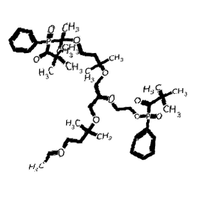 CCOCCC(C)(C)OCC(COC(C)(C)CCOC(C)(C)P(=O)(C(=O)C(C)(C)C)c1ccccc1)OCCOP(=O)(C(=O)C(C)(C)C)c1ccccc1